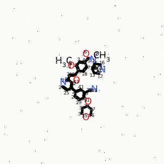 COc1cc(C(=O)N(C)C2CN3CCC2CC3)ccc1-c1cc2nccc(-c3ccc(OC4CCOCC4)c(C#N)c3)c2o1